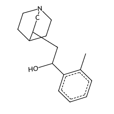 Cc1ccccc1C(O)CC1CN2CCC1CC2